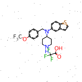 FC(F)(F)Oc1ccc(CN(c2ccc3sccc3c2)C2CCNCC2)cc1.O=C(O)C(F)(F)F